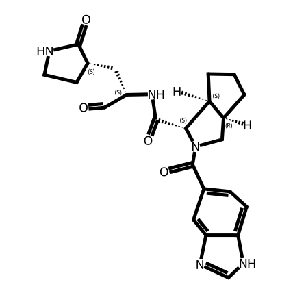 O=C[C@H](C[C@@H]1CCNC1=O)NC(=O)[C@@H]1[C@H]2CCC[C@H]2CN1C(=O)c1ccc2[nH]cnc2c1